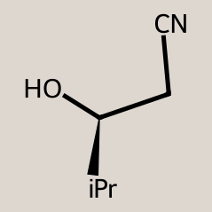 CC(C)[C@@H](O)CC#N